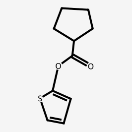 O=C(Oc1cccs1)C1CCCC1